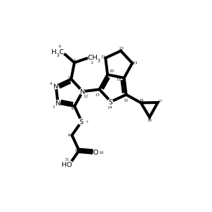 CC(C)c1nnc(SCC(=O)O)n1-c1sc(C2CC2)c2c1CCC2